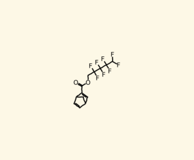 O=C(OCC(F)(F)C(F)(F)C(F)(F)C(F)F)C1=CC2C=CC1C2